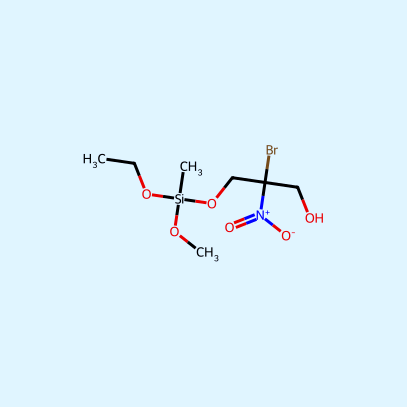 CCO[Si](C)(OC)OCC(Br)(CO)[N+](=O)[O-]